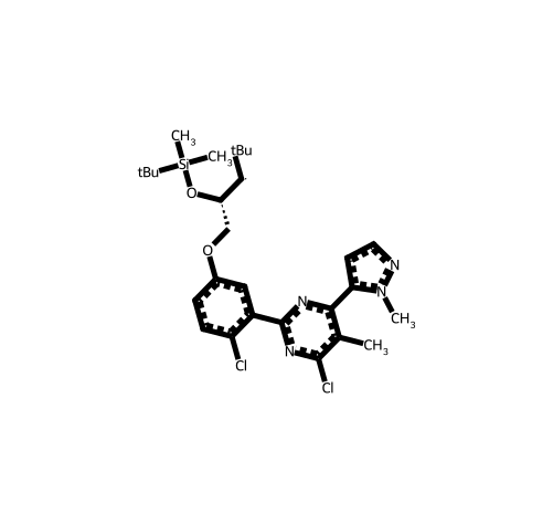 Cc1c(Cl)nc(-c2cc(OC[C@@H]([CH]C(C)(C)C)O[Si](C)(C)C(C)(C)C)ccc2Cl)nc1-c1ccnn1C